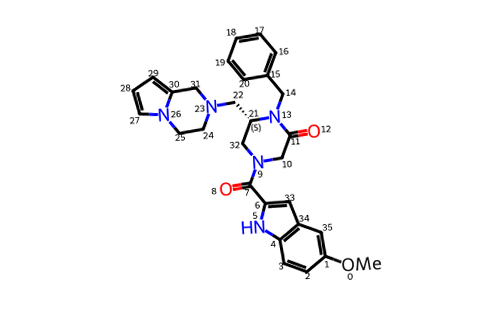 COc1ccc2[nH]c(C(=O)N3CC(=O)N(Cc4ccccc4)[C@@H](CN4CCn5cccc5C4)C3)cc2c1